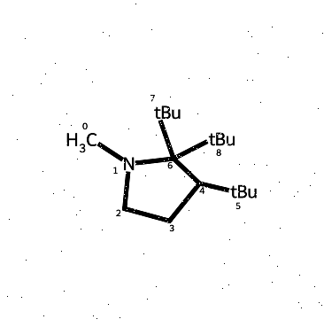 CN1CCC(C(C)(C)C)C1(C(C)(C)C)C(C)(C)C